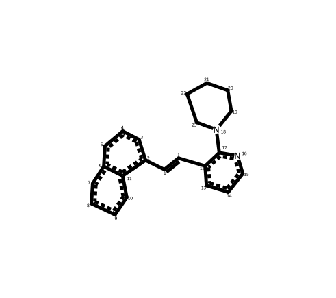 C(=Cc1cccc2ccccc12)c1cccnc1N1CCCCC1